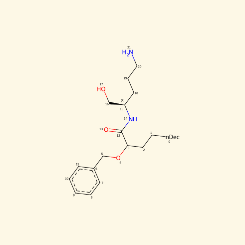 CCCCCCCCCCCCC(OCc1ccccc1)C(=O)N[C@@H](CO)CCCN